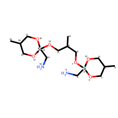 CC1CO[Si](CN)(OCC(C)CO[Si]2(CN)OCC(C)CO2)OC1